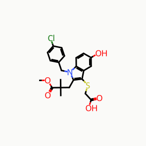 COC(=O)C(C)(C)Cc1c(SCC(=O)O)c2cc(O)ccc2n1Cc1ccc(Cl)cc1